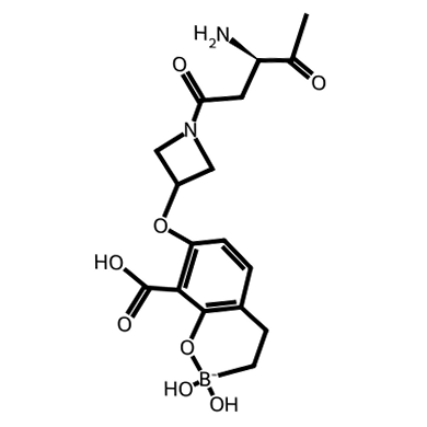 CC(=O)[C@H](N)CC(=O)N1CC(Oc2ccc3c(c2C(=O)O)O[B-](O)(O)CC3)C1